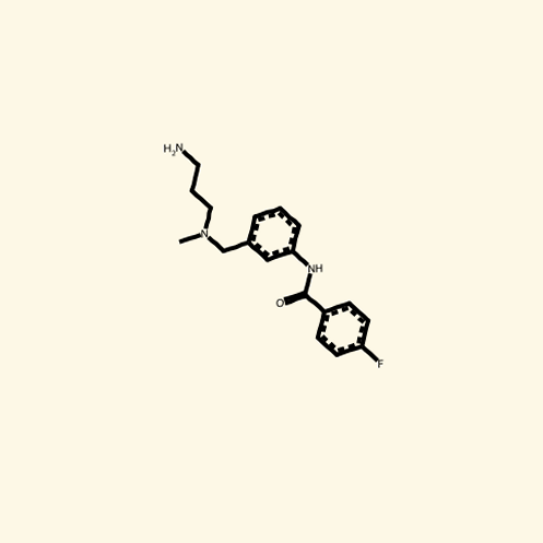 CN(CCCN)Cc1cccc(NC(=O)c2ccc(F)cc2)c1